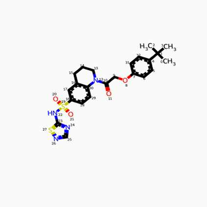 CC(C)(C)c1ccc(OCC(=O)N2CCCc3cc(S(=O)(=O)Nc4ncns4)ccc32)cc1